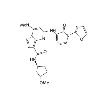 CNc1cc(Nc2cccn(-c3ncco3)c2=O)nc2c(C(=O)N[C@H]3CC[C@H](OC)C3)cnn12